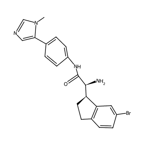 Cn1cncc1-c1ccc(NC(=O)[C@@H](N)[C@@H]2CCc3ccc(Br)cc32)cc1